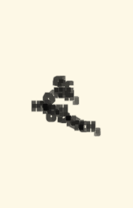 CCC(NCc1ccc2[nH]nc(NC(=O)c3ccc(N4CCN(C)CC4)cc3)c2c1)c1cccs1